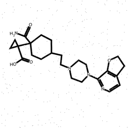 NC(=O)C1(C2(C(=O)O)CC2)CCC(CCN2CCN(c3nccc4c3OCC4)CC2)CC1